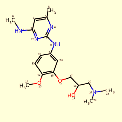 CNc1cc(C)nc(Nc2ccc(OC)c(OCC(O)CN(C)C)c2)n1